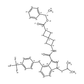 CC(C)Cn1nc(C(=O)NC2CC3(C2)CC(C(=O)O[C@@H](C)c2ccccc2)C3)c2c(Cc3ccc(C(F)(F)F)cc3)cccc21